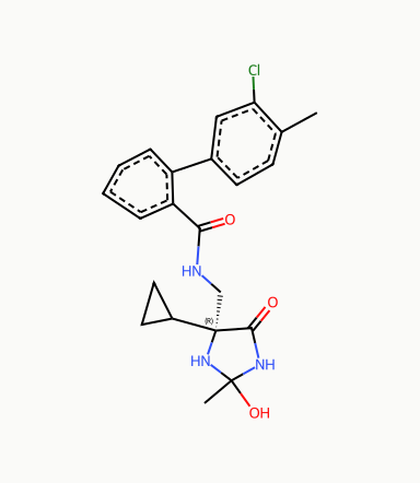 Cc1ccc(-c2ccccc2C(=O)NC[C@@]2(C3CC3)NC(C)(O)NC2=O)cc1Cl